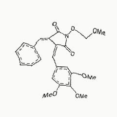 COCON1C(=O)C(=Cc2ccccc2)C(=Cc2cc(OC)c(OC)c(OC)c2)C1=O